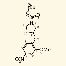 COc1cc([N+](=O)[O-])ccc1OC1CCN(C(=O)OC(C)(C)C)C1